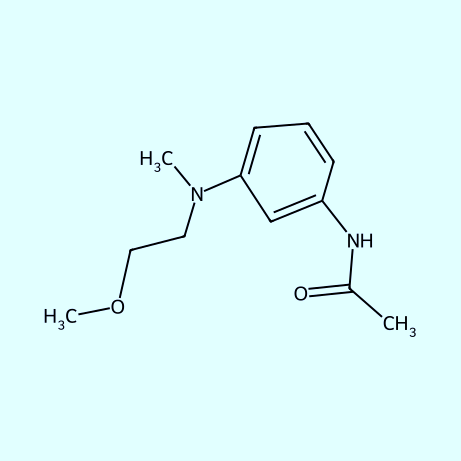 COCCN(C)c1cccc(NC(C)=O)c1